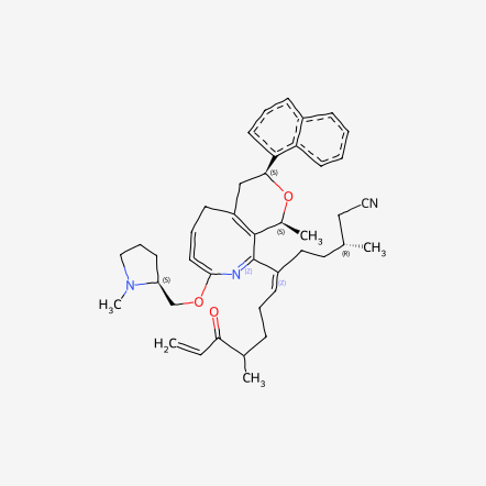 C=CC(=O)C(C)CC/C=C(CC[C@@H](C)CC#N)\C1=N\C(OC[C@@H]2CCCN2C)=C=CCC2=C1[C@H](C)O[C@H](c1cccc3ccccc13)C2